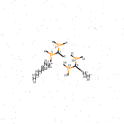 CC(P(C)C)P(C)C.CC(P(C)C)P(C)C.[H-].[H-].[H-].[H-].[H-].[Na+].[Ru+4]